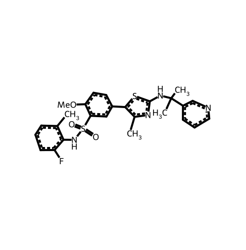 COc1ccc(-c2sc(NC(C)(C)c3cccnc3)nc2C)cc1S(=O)(=O)Nc1c(C)cccc1F